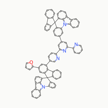 c1ccc(-c2cc(-c3ccc4c(c3)-n3c5ccccc5c5cccc(c53)C43c4ccccc4-c4ccccc43)cc(-c3ccc(-c4cc(-c5ccco5)cc5c4-c4ccccc4C54c5ccccc5-n5c6ccccc6c6cccc4c65)cn3)n2)nc1